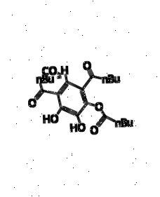 CCCCC(=O)Oc1c(O)c(O)c(C(=O)CCCC)c(C(=O)O)c1C(=O)CCCC